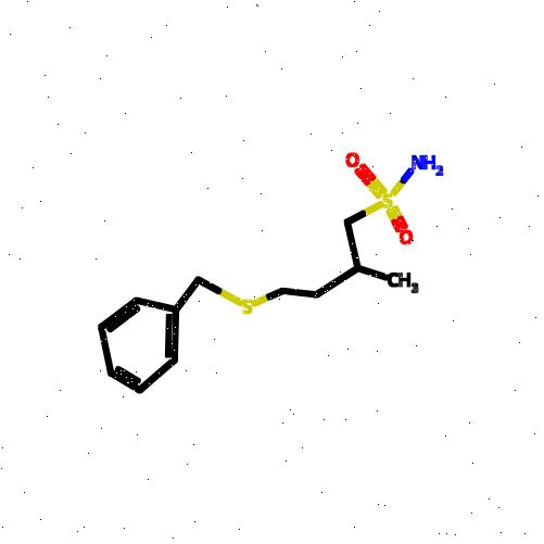 CC(CCSCc1ccccc1)CS(N)(=O)=O